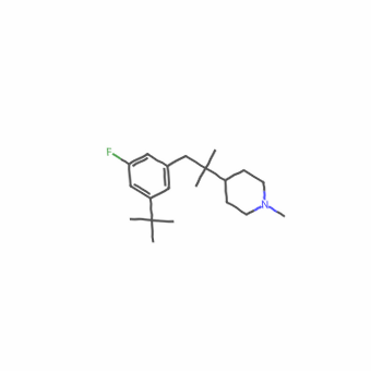 CN1CCC(C(C)(C)Cc2cc(F)cc(C(C)(C)C)c2)CC1